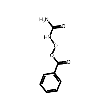 NC(=O)NOOC(=O)c1ccccc1